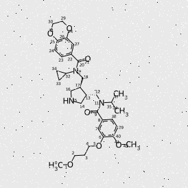 COCCCOc1cc(C(=O)N(C[C@@H]2CNC[C@H]2CN(C(=O)c2ccc3c(c2)OCCO3)C2CC2)C(C)C)ccc1OC